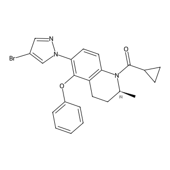 C[C@H]1CCc2c(ccc(-n3cc(Br)cn3)c2Oc2ccccc2)N1C(=O)C1CC1